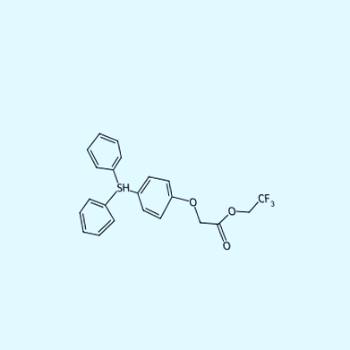 O=C(COc1ccc([SH](c2ccccc2)c2ccccc2)cc1)OCC(F)(F)F